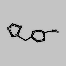 [AsH2]c1ccc(Cn2cncn2)cc1